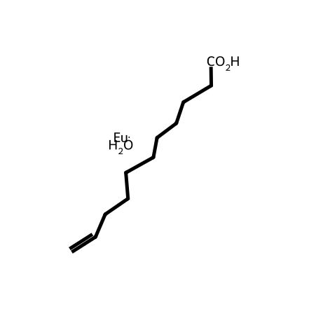 C=CCCCCCCCCC(=O)O.O.[Eu]